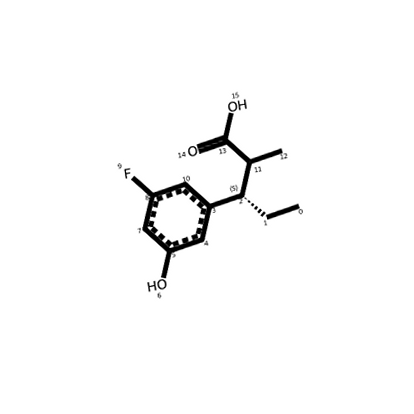 CC[C@H](c1cc(O)cc(F)c1)C(C)C(=O)O